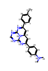 CC(C)c1ccc(C2=NC3=NC=NC4=NC(c5ccc(N(C)C)cc5)=CC(=C2)N34)cc1